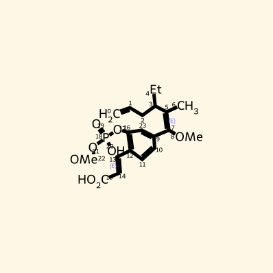 C=CCC(CC)/C(C)=C(/OC)c1ccc(/C=C/C(=O)O)c(OP(=O)(O)OOC)c1